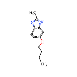 CCCCOc1ccc2nc(C)[nH]c2c1